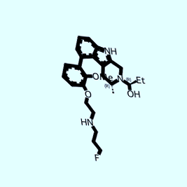 CC[C@@H](O)N1Cc2[nH]c3cccc(-c4cccc(OCCNCCCF)c4OC)c3c2C[C@H]1C